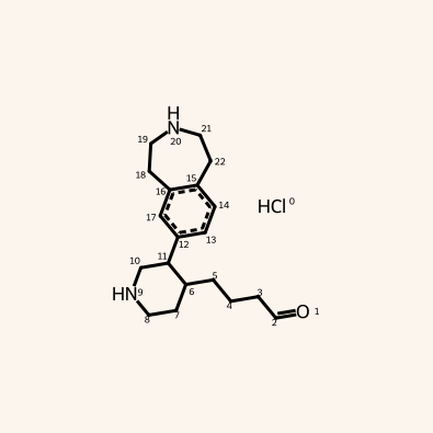 Cl.O=CCCCC1CCNCC1c1ccc2c(c1)CCNCC2